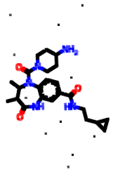 CC1C(=O)Nc2cc(C(=O)NCCC3CC3)ccc2N(C(=O)N2CCC(N)CC2)C1C